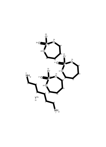 NCCCCCCN.O=P1([O-])OCCCCO1.O=P1([O-])OCCCCO1.O=P1([O-])OCCCCO1.[Y+3]